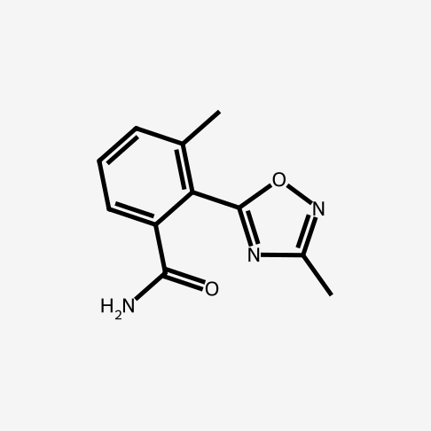 Cc1noc(-c2c(C)cccc2C(N)=O)n1